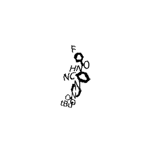 CC(C)(C)OC(=O)N1CCN(c2cccc(NC(=O)c3ccc(F)cc3)c2C#N)CC1